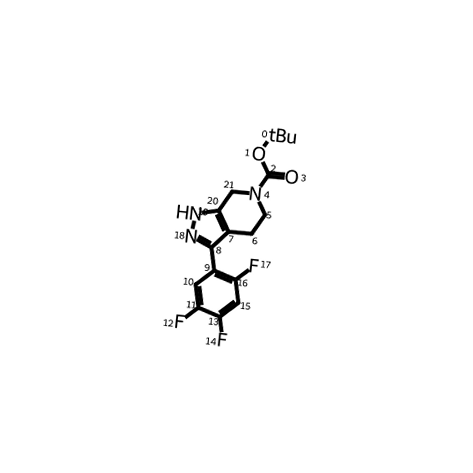 CC(C)(C)OC(=O)N1CCc2c(-c3cc(F)c(F)cc3F)n[nH]c2C1